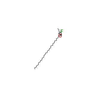 CCCCCCCCCCCCCCCCCCCCCCCCCCCCO[Si](C)(C)C(F)CCC